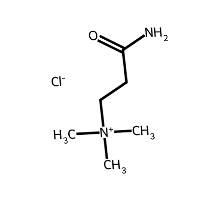 C[N+](C)(C)CCC(N)=O.[Cl-]